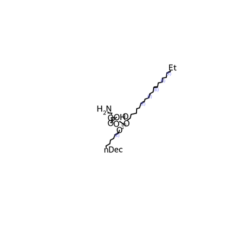 CC/C=C/C/C=C/C/C=C/C/C=C/C/C=C/CCCCCC(=O)O[C@H](CO/C=C/CCCCCCCCCCCCCC)COP(=O)(O)OCCN